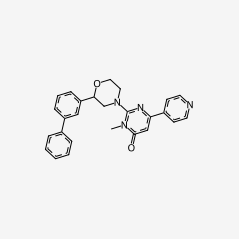 Cn1c(N2CCOC(c3cccc(-c4ccccc4)c3)C2)nc(-c2ccncc2)cc1=O